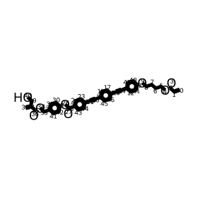 C=CC(=O)OCCCCOc1ccc(C#Cc2ccc(C#Cc3ccc(C(=O)Oc4ccc(COC(=O)C(=C)CO)cc4)cc3)cc2)cc1